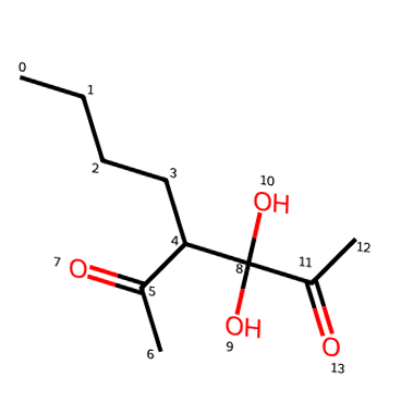 CCCCC(C(C)=O)C(O)(O)C(C)=O